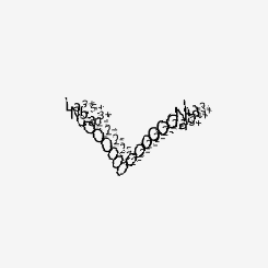 [Ga+3].[Ga+3].[La+3].[La+3].[Nb+5].[Nb+5].[O-2].[O-2].[O-2].[O-2].[O-2].[O-2].[O-2].[O-2].[O-2].[O-2].[O-2]